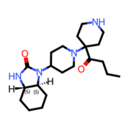 CCCC(=O)C1(N2CCC(N3C(=O)N[C@H]4CCCC[C@@H]43)CC2)CCNCC1